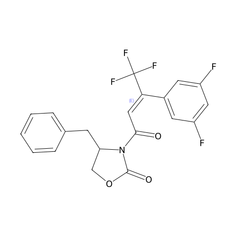 O=C(/C=C(\c1cc(F)cc(F)c1)C(F)(F)F)N1C(=O)OCC1Cc1ccccc1